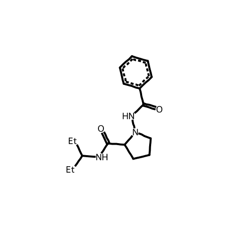 CCC(CC)NC(=O)C1CCCN1NC(=O)c1ccccc1